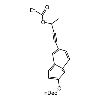 CCCCCCCCCCOc1ccc2cc(C#CC(C)OC(=O)CC)ccc2c1